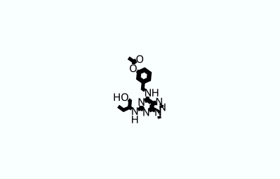 CCC(CO)Nc1nc(NCc2cccc(OC(C)=O)c2)c2nnn(C)c2n1